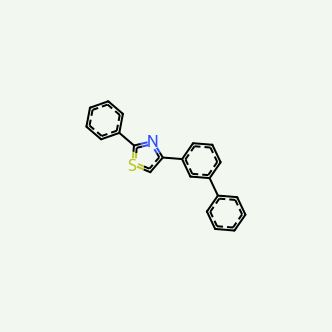 c1ccc(-c2cccc(-c3csc(-c4ccccc4)n3)c2)cc1